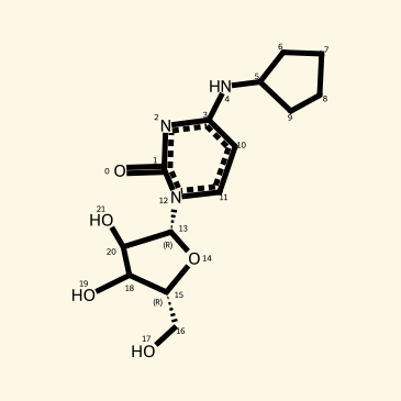 O=c1nc(NC2CCCC2)ccn1[C@@H]1O[C@H](CO)C(O)C1O